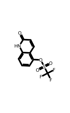 O=c1ccc2c(OS(=O)(=O)C(F)(F)F)cccc2[nH]1